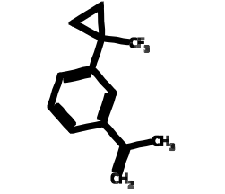 C=C(C)c1cccc(C2(C(F)(F)F)CC2)c1